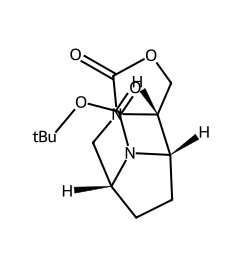 CC(C)(C)OC(=O)N1[C@@H]2CC[C@H]1[C@H]1COC(=O)N1C2